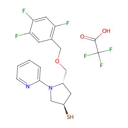 Fc1cc(F)c(COC[C@@H]2C[C@@H](S)CN2c2ccccn2)cc1F.O=C(O)C(F)(F)F